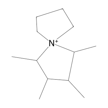 CC1C(C)C(C)[N+]2(CCCC2)C1C